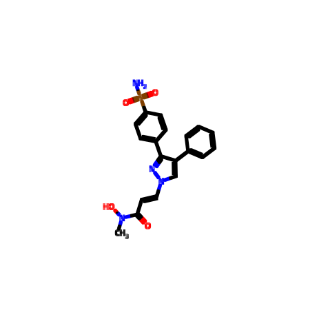 CN(O)C(=O)C=Cn1cc(-c2ccccc2)c(-c2ccc(S(N)(=O)=O)cc2)n1